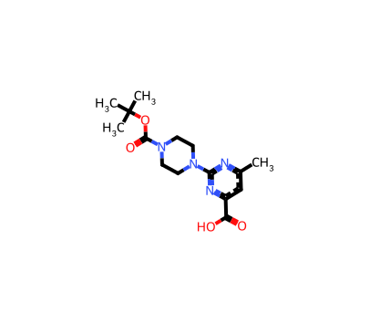 Cc1cc(C(=O)O)nc(N2CCN(C(=O)OC(C)(C)C)CC2)n1